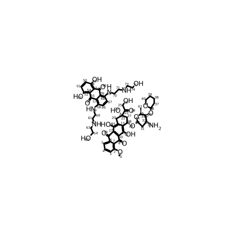 COc1cccc2c1C(=O)c1c(O)c3c(c(O)c1C2=O)C[C@@](O)(C(=O)CO)C[C@@H]3O[C@H]1C[C@H](N)[C@H](O[C@@H]2CCCCO2)[C@H](C)O1.O=C1c2c(O)ccc(O)c2C(=O)c2c(NCCNCCO)ccc(NCCNCCO)c21